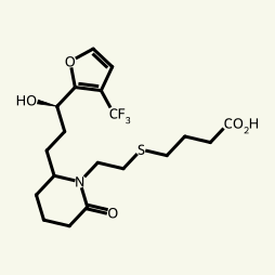 O=C(O)CCCSCCN1C(=O)CCCC1CC[C@@H](O)c1occc1C(F)(F)F